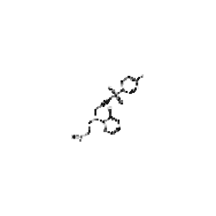 Cc1ccc(S(=O)(=O)C#CCC(CCC(=O)O)c2ccccc2Cl)cc1